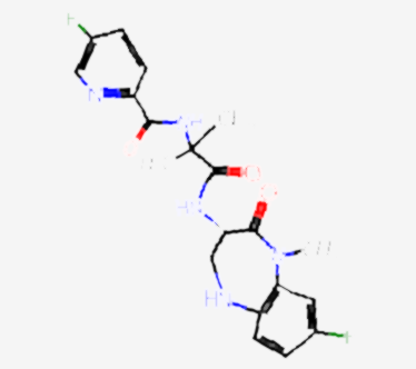 CN1C(=O)[C@H](NC(=O)C(C)(C)NC(=O)c2ccc(F)cn2)CNc2ccc(F)cc21